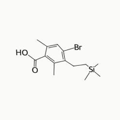 Cc1cc(Br)c(CC[Si](C)(C)C)c(C)c1C(=O)O